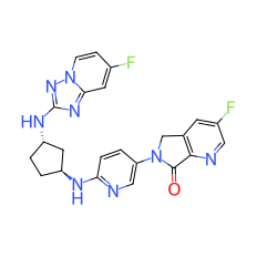 O=C1c2ncc(F)cc2CN1c1ccc(N[C@H]2CC[C@H](Nc3nc4cc(F)ccn4n3)C2)nc1